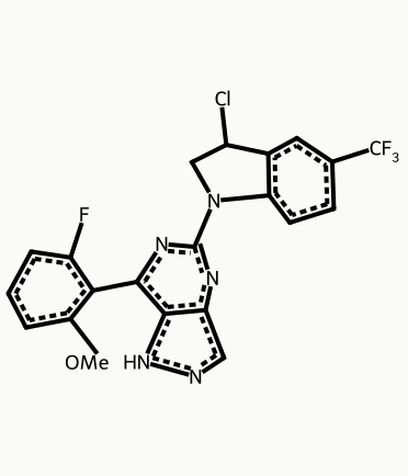 COc1cccc(F)c1-c1nc(N2CC(Cl)c3cc(C(F)(F)F)ccc32)nc2cn[nH]c12